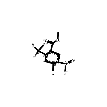 COC(=O)c1cc([N+](=O)[O-])c(I)cc1C(F)(F)F